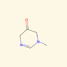 CN1C=NCC(=O)C1